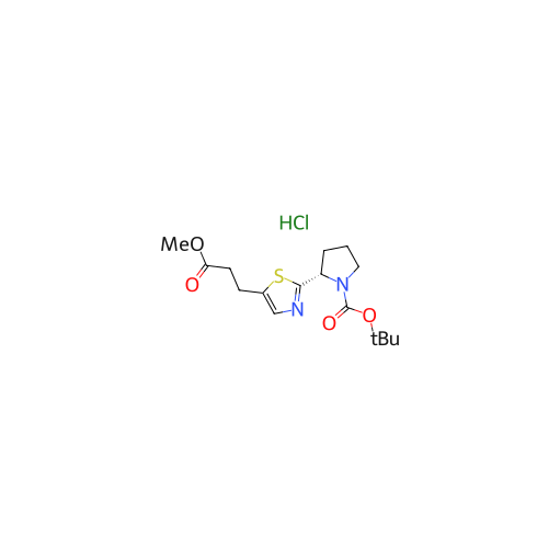 COC(=O)CCc1cnc([C@@H]2CCCN2C(=O)OC(C)(C)C)s1.Cl